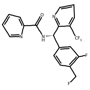 O=C(N[C@@H](c1ccc(CF)c(F)c1)c1ncccc1C(F)(F)F)c1ccccn1